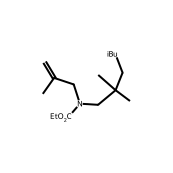 C=C(C)CN(CC(C)(C)CC(C)CC)C(=O)OCC